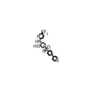 O=S(=O)(c1ccc(-c2ccncc2)cc1)N1CC[C@@H](Nc2ccc(C(F)(F)F)cn2)[C@@H](O)C1